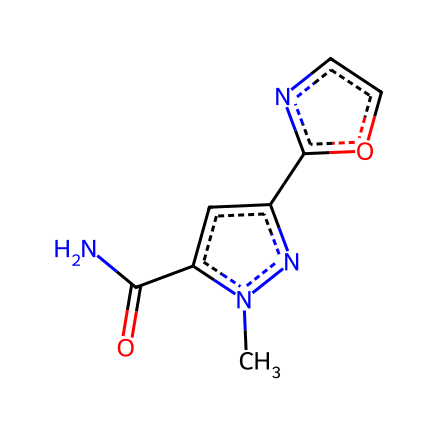 Cn1nc(-c2ncco2)cc1C(N)=O